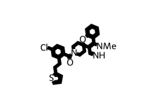 CNC1=C(C=N)C2(CCN(C(=O)c3ccc(Cl)cc3CCc3cccs3)CC2)Oc2ccccc21